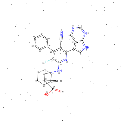 N#Cc1c(-c2c[nH]c3ncncc23)nc(NC2C3CCC(CC3)[C@H]2C(=O)O)c(F)c1-c1ccccc1